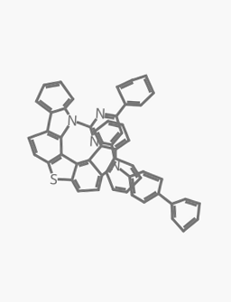 c1ccc(-c2ccc(-n3c4ccccc4c4c5c(ccc43)sc3ccc4c6ccccc6n(-c6nc(-c7ccccc7)cc(-c7ccccc7)n6)c4c35)cc2)cc1